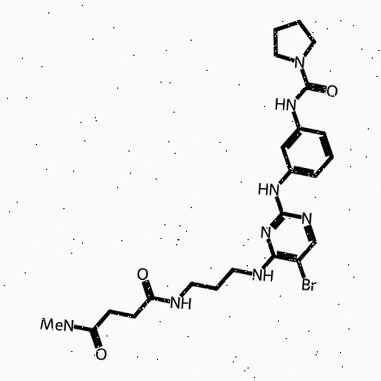 CNC(=O)CCC(=O)NCCCNc1nc(Nc2cccc(NC(=O)N3CCCC3)c2)ncc1Br